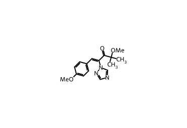 COc1ccc(/C=C(/C(=O)C(C)(C)OC)n2cncn2)cc1